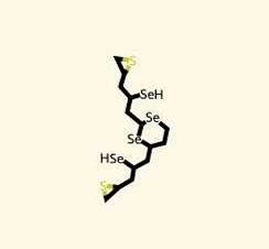 [SeH]C(CC1CS1)CC1CC[Se]C(CC([SeH])CC2CS2)[Se]1